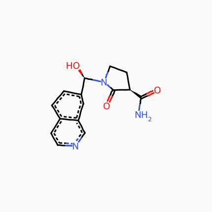 NC(=O)[C@@H]1CCN([C@H](O)c2ccc3ccncc3c2)C1=O